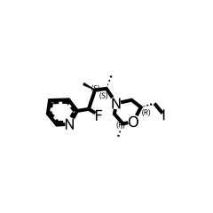 C[C@@H]1CN([C@@H](C)[C@H](C)C(F)c2ccccn2)C[C@H](CI)O1